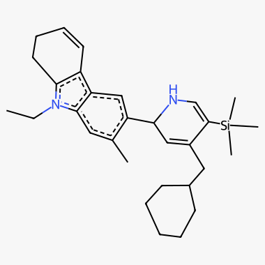 CCn1c2c(c3cc(C4C=C(CC5CCCCC5)C([Si](C)(C)C)=CN4)c(C)cc31)C=CCC2